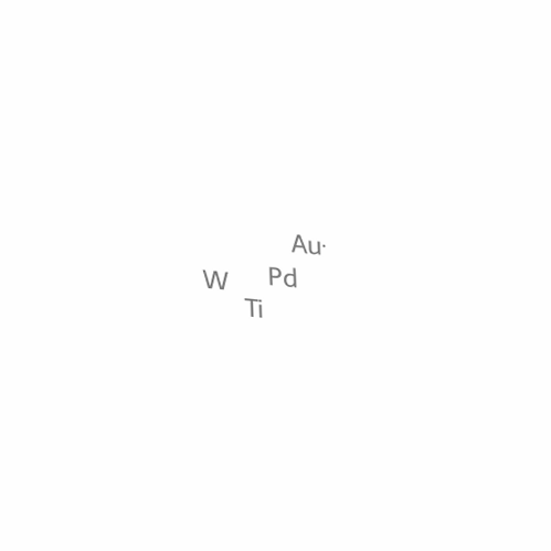 [Au].[Pd].[Ti].[W]